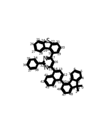 CC1(C)c2ccccc2-c2c(-c3ccc(-c4cc(-c5cccc6sc7ccccc7c56)nc(-c5ccccc5)n4)c4ccccc34)cccc21